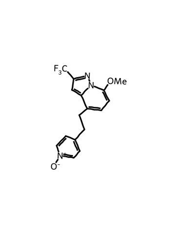 COc1ccc(CCc2cc[n+]([O-])cc2)c2cc(C(F)(F)F)nn12